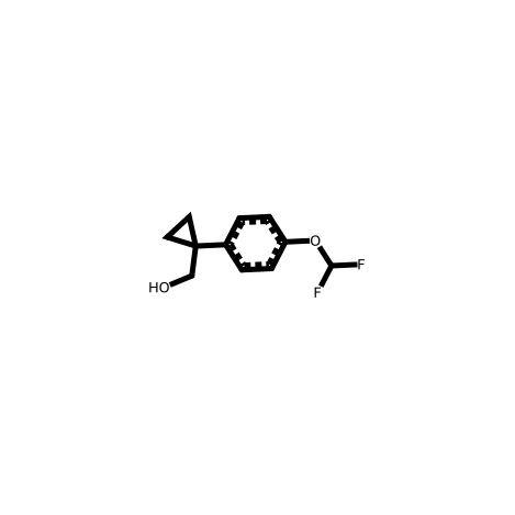 OCC1(c2ccc(OC(F)F)cc2)CC1